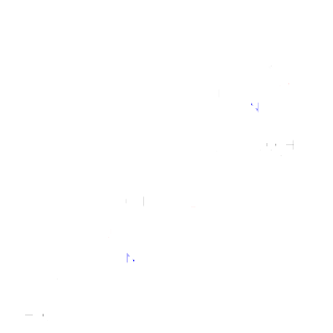 CC/C(=C/C(=O)c1ccccc1)N[C@@H](Cc1ccc(OCCc2nc(-c3ccc(C)cc3)oc2C)cc1)C(=O)O